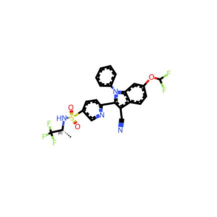 C[C@@H](NS(=O)(=O)c1ccc(-c2c(C#N)c3ccc(OC(F)F)cc3n2-c2ccccc2)nc1)C(F)(F)F